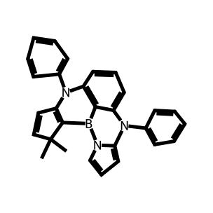 CC1(C)C=CC2=C1B1c3c(cccc3N(c3ccccc3)c3cccn31)N2c1ccccc1